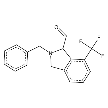 O=CC1c2c(cccc2C(F)(F)F)CN1Cc1ccccc1